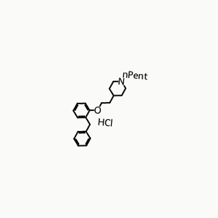 CCCCCN1CCC(CCOc2ccccc2Cc2ccccc2)CC1.Cl